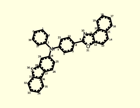 c1ccc(N(c2ccc(-c3nc4c(ccc5ccccc54)o3)cc2)c2ccc3c(c2)sc2ccccc23)cc1